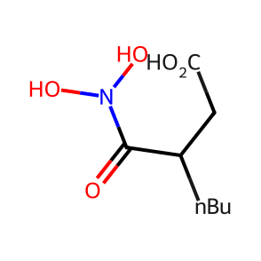 CCCCC(CC(=O)O)C(=O)N(O)O